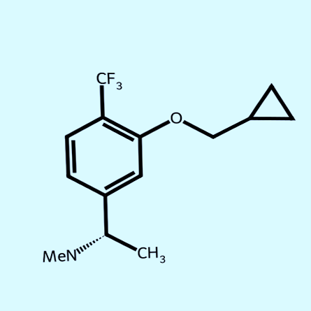 CN[C@@H](C)c1ccc(C(F)(F)F)c(OCC2CC2)c1